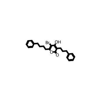 O=c1oc(CCCCc2ccccc2)c(Br)c(O)c1CCCc1ccccc1